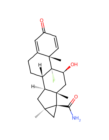 C[C@]12C[C@H]3[C@@H]4CCC5=CC(=O)C=C[C@]5(C)[C@@]4(F)[C@@H](O)C[C@]3(C)[C@]1(C(N)=O)C2